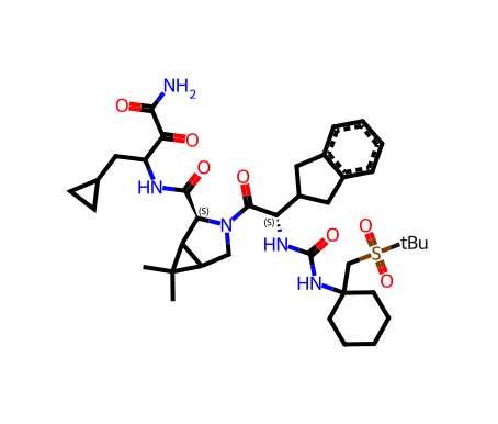 CC1(C)C2CN(C(=O)[C@@H](NC(=O)NC3(CS(=O)(=O)C(C)(C)C)CCCCC3)C3Cc4ccccc4C3)[C@H](C(=O)NC(CC3CC3)C(=O)C(N)=O)C21